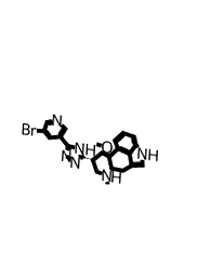 CO[C@]12C[C@@H](c3nnc(-c4cncc(Br)c4)[nH]3)CN(C)[C@@H]1Cc1c[nH]c3cccc2c13